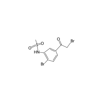 CS(=O)(=O)Nc1cc(C(=O)CBr)ccc1Br